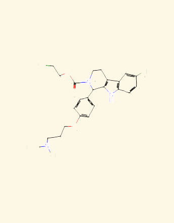 CN(C)CCCOc1ccc(C2c3[nH]c4ccc(Cl)cc4c3CCN2C(=O)OCCF)cc1